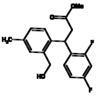 COC(=O)CC(c1ccc(F)cc1F)c1ccc(C)cc1CO